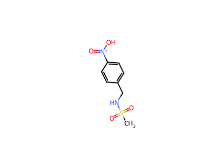 CS(=O)(=O)NCc1ccc([N+](=O)O)cc1